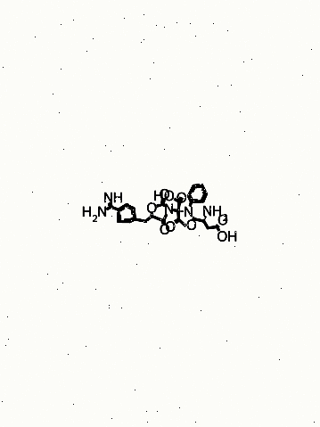 CC(=O)[C@](C(=O)O)(N1C(=O)OC(Cc2ccc(C(=N)N)cc2)C1=O)N(C(=O)[C@@H](N)CC(=O)O)c1ccccc1